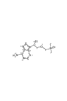 CCC(COCP(C)(C)=O)n1cnc2c(N)ncnc21